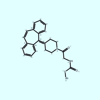 CC(C)OC(=O)NCC(=O)N1CCC(=C2c3ccccc3C=Cc3ccccc32)CC1